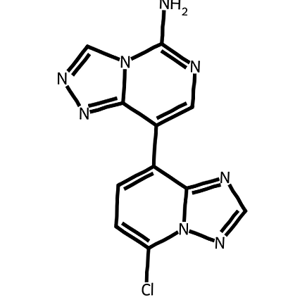 Nc1ncc(-c2ccc(Cl)n3ncnc23)c2nncn12